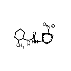 CC1CCCCC1NC(=O)Nc1cccc([N+](=O)[O-])c1